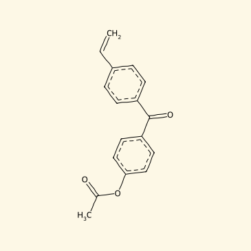 C=Cc1ccc(C(=O)c2ccc(OC(C)=O)cc2)cc1